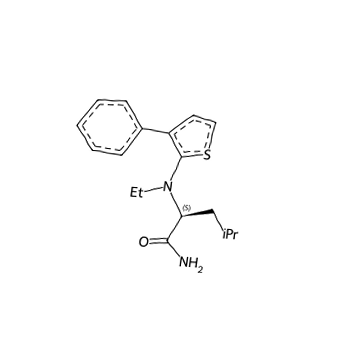 CCN(c1sccc1-c1ccccc1)[C@@H](CC(C)C)C(N)=O